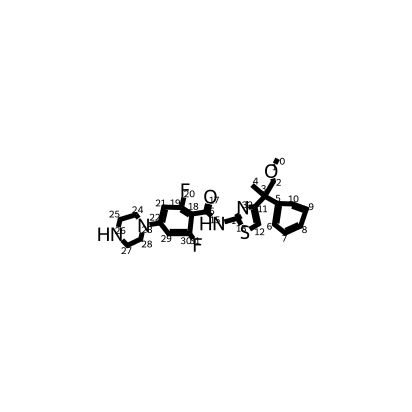 COCC(C)(c1ccccc1)c1csc(NC(=O)c2c(F)cc(N3CCNCC3)cc2F)n1